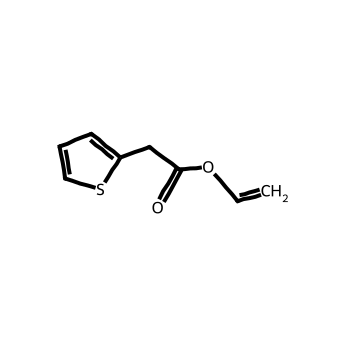 C=COC(=O)Cc1cccs1